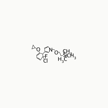 C[Si](C)(C)CCOCn1ccc(C2C(OC3CC3)=CC=CC2(F)Cl)c1